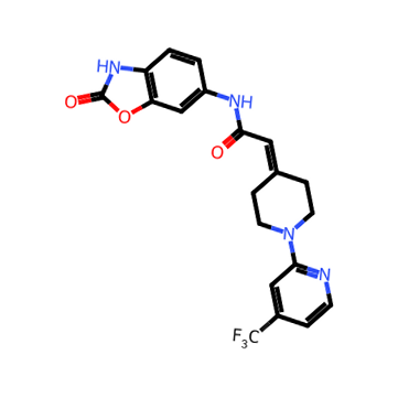 O=C(C=C1CCN(c2cc(C(F)(F)F)ccn2)CC1)Nc1ccc2[nH]c(=O)oc2c1